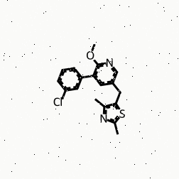 COc1ncc(Cc2sc(C)nc2C)cc1-c1cccc(Cl)c1